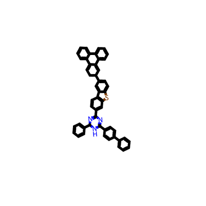 C1=c2c(c3ccccc3c3ccccc23)=CC(c2ccc3sc4cc(C5=NC(c6ccccc6)NC(c6ccc(-c7ccccc7)cc6)=N5)ccc4c3c2)C1